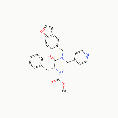 COC(=O)N[C@H](Cc1ccccc1)C(=O)N(Cc1ccncc1)Cc1ccc2occc2c1